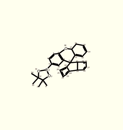 CC1(C)OB(c2ccc3c(c2)C2(C4=CC=CCC4O3)c3ccccc3C3C=CC=CC32)OC1(C)C